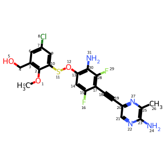 COc1c(CO)cc(Cl)cc1SOc1cc(F)c(C#Cc2cnc(N)c(C)n2)c(F)c1N